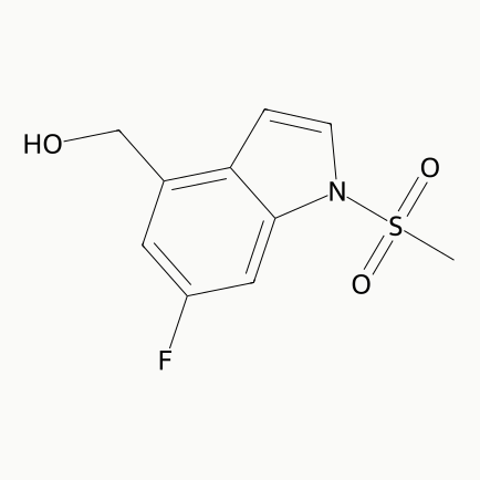 CS(=O)(=O)n1ccc2c(CO)cc(F)cc21